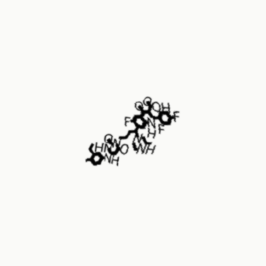 CCc1cc(Nc2cc(=O)n(CCCC(c3cc4[nH]c(-c5ccc(F)cc5F)c(C(=O)O)c(=O)c4cc3F)N3CCNC(C)C3)c(=O)[nH]2)ccc1C